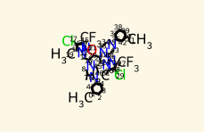 Cc1cccc(N2CCN(C(Cn3nc(C(F)(F)F)c(Cl)c3C)C(=O)C(Cn3nc(C(F)(F)F)c(Cl)c3C)N3CCN(c4cccc(C)c4)CC3)CC2)c1